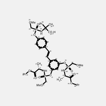 COCP(=O)(N[C@@H](C)C(=O)OC(C)C)Oc1cc(/C=C/c2ccc(OP(=O)(COC)NC(C)(C(=O)O)C(C)C)cc2)cc(OP(=O)(COC)N[C@@H](C)C(=O)OC(C)C)c1